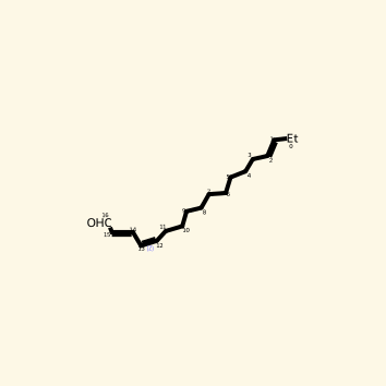 CCC=CCCCCCCCCC/C=C\C=CC=O